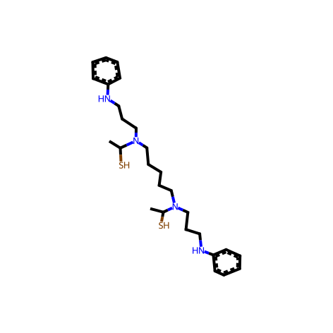 CC(S)N(CCCCCN(CCCNc1ccccc1)C(C)S)CCCNc1ccccc1